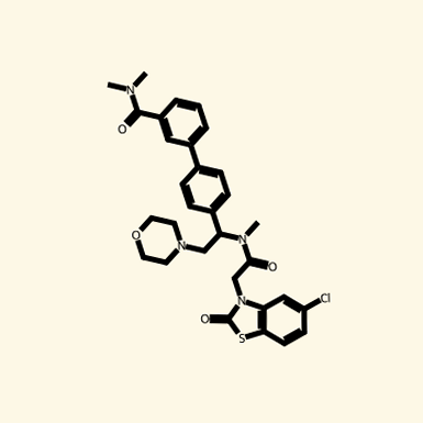 CN(C)C(=O)c1cccc(-c2ccc(C(CN3CCOCC3)N(C)C(=O)Cn3c(=O)sc4ccc(Cl)cc43)cc2)c1